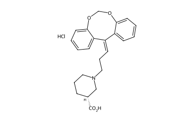 Cl.O=C(O)[C@@H]1CCCN(CCC=C2c3ccccc3OCOc3ccccc32)C1